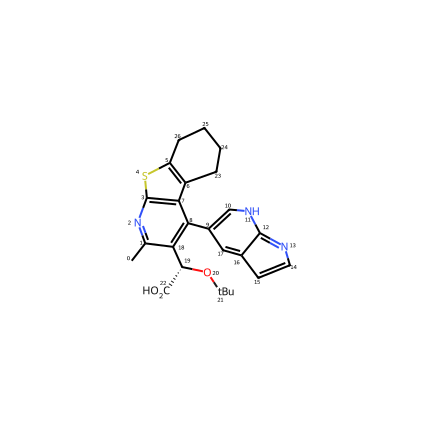 Cc1nc2sc3c(c2c(-c2c[nH]c4nccc-4c2)c1[C@H](OC(C)(C)C)C(=O)O)CCCC3